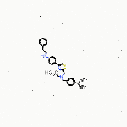 CCCC(CCC)c1ccc(CN(CC(=O)O)Cc2nc(-c3ccc(NCCc4ccccc4)cc3)cs2)cc1